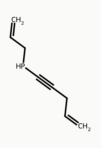 C=CCC#CPCC=C